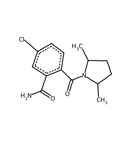 CC1CCC(C)N1C(=O)c1ccc(Cl)cc1C(N)=O